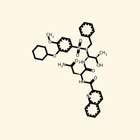 COc1ccc(S(=O)(=O)N(Cc2ccccc2)[C@H](NC(=O)[C@H](CC(N)=O)NC(=O)c2ccc3ccccc3n2)[C@@H](C)O)cc1OC1CCCCC1